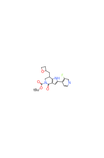 CC(C)(C)OC(=O)N1CC(CC2CCO2)c2[nH]c(-c3ccncc3F)cc2C1=O